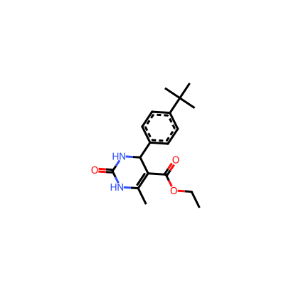 CCOC(=O)C1=C(C)NC(=O)NC1c1ccc(C(C)(C)C)cc1